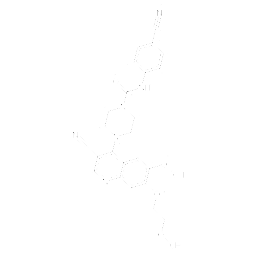 COCCOc1cc2ncc(C#N)c(N3CCN(C(=O)Nc4ccc(C#N)cc4)CC3)c2cc1OC